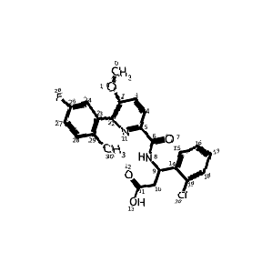 COc1ccc(C(=O)NC(CC(=O)O)c2ccccc2Cl)nc1-c1cc(F)ccc1C